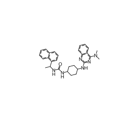 CC(NC(=O)NC1CCC(Nc2nc(N(C)C)c3ccccc3n2)CC1)c1cccc2ccccc12